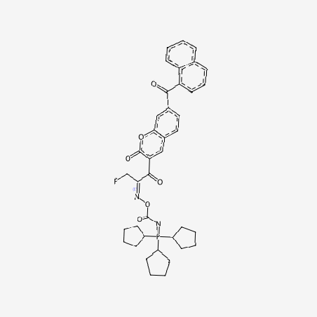 O=C(N=P(C1CCCC1)(C1CCCC1)C1CCCC1)O/N=C(/CF)C(=O)c1cc2ccc(C(=O)c3cccc4ccccc34)cc2oc1=O